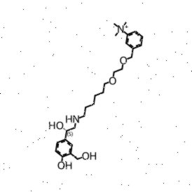 C[N+](C)(C)c1cccc(COCCOCCCCCCNC[C@@H](O)c2ccc(O)c(CO)c2)c1